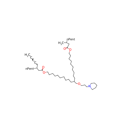 C=C=C=C=CC(CCCCC)CC(=O)OCCCCCCCCCCC(CCCCCCCCCCOC(=O)CC(C)CCCCC)COCCCN1CCCCC1